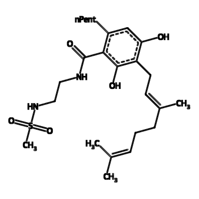 CCCCCc1cc(O)c(C/C=C(\C)CCC=C(C)C)c(O)c1C(=O)NCCNS(C)(=O)=O